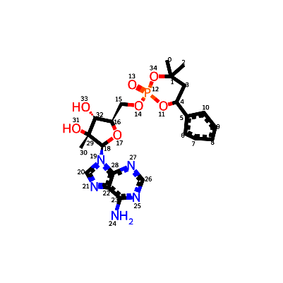 CC1(C)CC(c2ccccc2)OP(=O)(OC[C@H]2O[C@@H](n3cnc4c(N)ncnc43)[C@](C)(O)[C@@H]2O)O1